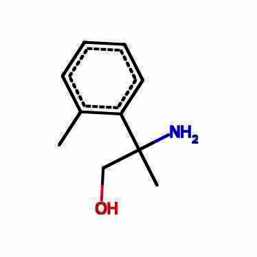 Cc1ccccc1C(C)(N)CO